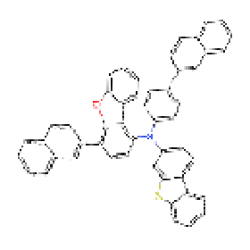 c1ccc2cc(-c3ccc(N(c4ccc5c(c4)sc4ccccc45)c4ccc(-c5ccc6ccccc6c5)c5oc6ccccc6c45)cc3)ccc2c1